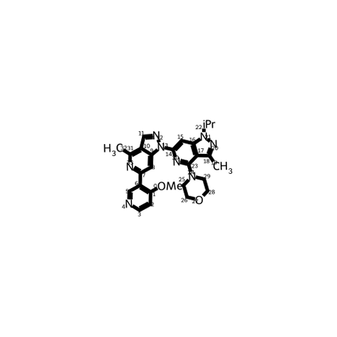 COc1ccncc1-c1cc2c(cnn2-c2cc3c(c(C)nn3C(C)C)c(N3CCOCC3)n2)c(C)n1